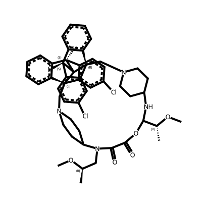 CO[C@H](C)CN1C(=O)C(=O)OC([C@@H](C)OC)NC2CCN(CC2)C[C@]23c4ccccc4[C@@H](c4ccc(Cl)cc42)C32[C@H]3c4ccccc4[C@]2(CN2CCC1CC2)c1cc(Cl)ccc13